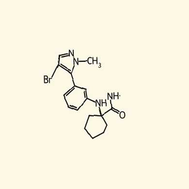 Cn1ncc(Br)c1-c1cccc(NC2(C([NH])=O)CCCCC2)c1